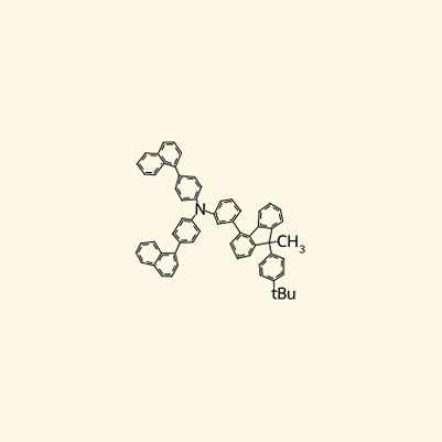 CC(C)(C)c1ccc(C2(C)c3ccccc3-c3c(-c4cccc(N(c5ccc(-c6cccc7ccccc67)cc5)c5ccc(-c6cccc7ccccc67)cc5)c4)cccc32)cc1